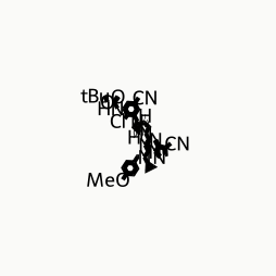 COc1ccc(CN(c2nc(N3C[C@H]4C[C@@H]3CN4c3cc(C#N)cc(NC(=O)OC(C)(C)C)c3Cl)nc3c(C#N)cnn23)C2CC2)cc1